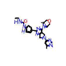 CCNC(=O)Nc1ccc(-c2nc3c(c(N4CCOC[C@@H]4C)n2)CN(c2cc(C)ncn2)C3)cc1